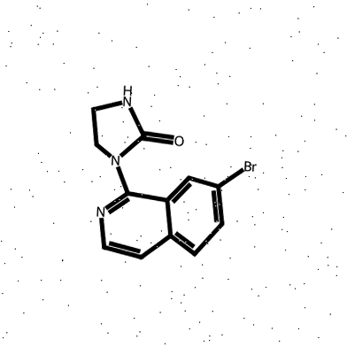 O=C1NCCN1c1nccc2ccc(Br)cc12